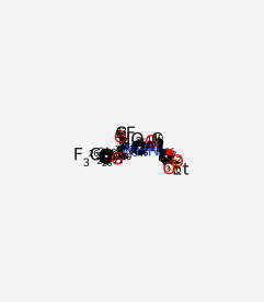 CCS(=O)(=O)c1ccc(C(CC(=O)O)NC(=O)c2ccc(N3C[C@@H](Oc4ccc(C(F)(F)F)cc4)C[C@H]3COC(F)(F)F)cc2)cc1